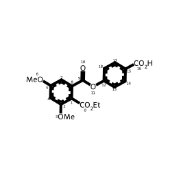 CCOC(=O)c1c(OC)cc(OC)cc1C(=O)Oc1ccc(C(=O)O)cc1